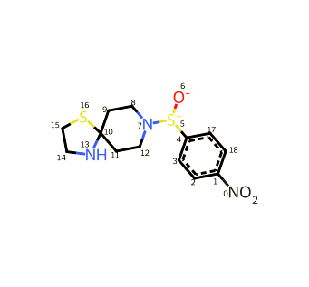 O=[N+]([O-])c1ccc([S+]([O-])N2CCC3(CC2)NCCS3)cc1